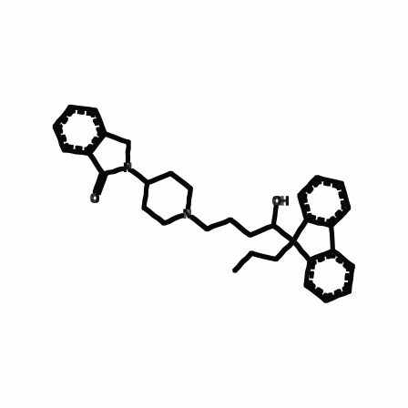 CCCC1(C(O)CCCN2CCC(N3Cc4ccccc4C3=O)CC2)c2ccccc2-c2ccccc21